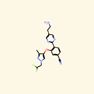 Cc1nn(CC(F)F)cc1Oc1cc(C#N)ccc1-c1ncc(CCN)cn1